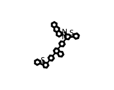 c1ccc2cc3c(ccc4c3nc3c5sc6ccccc6c5cc(-c5ccc(-c6ccc(-c7ccc(-c8cccc9c8sc8ccccc89)cc7)c7ccccc67)cc5)n43)cc2c1